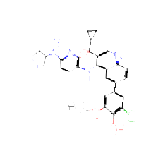 COc1cc(-c2ccc3ncc(C(=O)C4CC4)c(Nc4ccc(NC5CCNC5)nc4)c3c2)cc(Cl)c1O